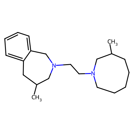 CC1CCCCCN(CCN2Cc3ccccc3CC(C)C2)C1